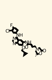 C[C@@H]1CN(CC=CC(=O)Nc2cc3c(Nc4ccc(F)c(Cl)c4)ncnc3cc2OCC2CC2)CC(=O)O1